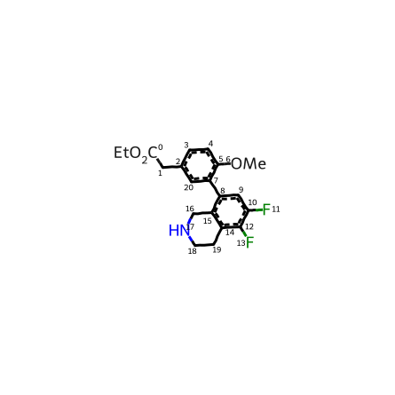 CCOC(=O)Cc1ccc(OC)c(-c2cc(F)c(F)c3c2CNCC3)c1